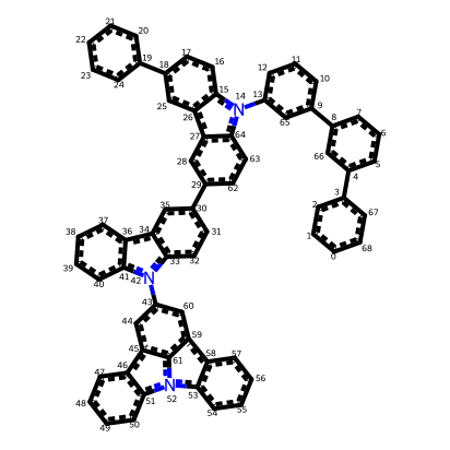 c1ccc(-c2cccc(-c3cccc(-n4c5ccc(-c6ccccc6)cc5c5cc(-c6ccc7c(c6)c6ccccc6n7-c6cc7c8ccccc8n8c9ccccc9c(c6)c78)ccc54)c3)c2)cc1